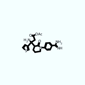 CC(=O)OC(=O)CC(N)(c1ccsc1)C1CCCN(c2ccc(C(=N)N)cc2)C1=O